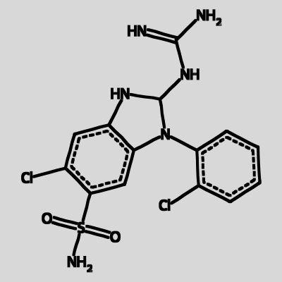 N=C(N)NC1Nc2cc(Cl)c(S(N)(=O)=O)cc2N1c1ccccc1Cl